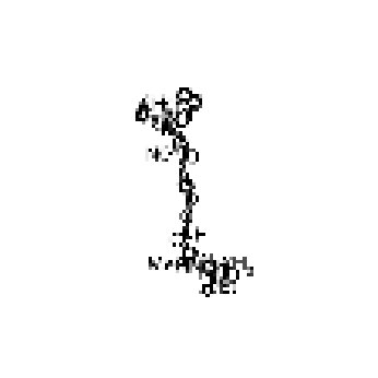 CC[C@@H]1C(=O)N(C)c2cnc(Nc3ccc(C(=O)NCCOCCOC4CCN(C/C=C/C(=O)N5CCN(c6nc(OC[C@@H]7CCCN7C)nc7c6CCN(c6cccc8cccc(Cl)c68)C7)C[C@@H]5CC#N)CC4)cc3OC)nc2N1C1CCCC1